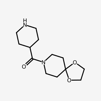 O=C(C1CCNCC1)N1CCC2(CC1)OCCO2